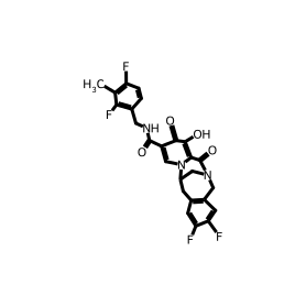 Cc1c(F)ccc(CNC(=O)c2cn3c(c(O)c2=O)C(=O)N2Cc4cc(F)c(F)cc4CC3C2)c1F